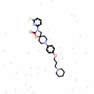 O=C1OC2(CCN(c3ccc(OCCCN4CCCCC4)cc3)CC2)CN1c1cccc(F)n1